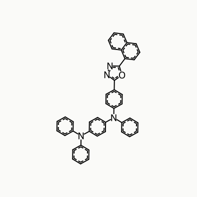 c1ccc(N(c2ccccc2)c2ccc(N(c3ccccc3)c3ccc(-c4nnc(-c5cccc6ccccc56)o4)cc3)cc2)cc1